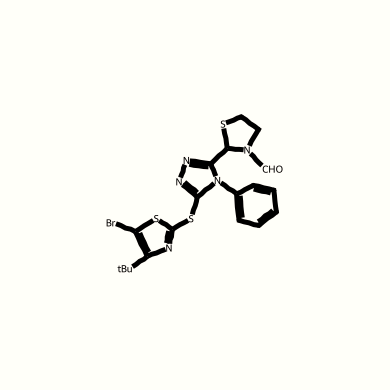 CC(C)(C)c1nc(Sc2nnc(C3SCCN3C=O)n2-c2ccccc2)sc1Br